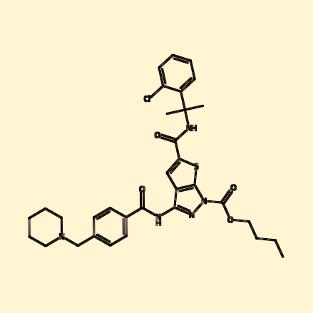 CCCCOC(=O)n1nc(NC(=O)c2ccc(CN3CCCCC3)cc2)c2cc(C(=O)NC(C)(C)c3ccccc3Cl)sc21